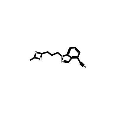 CC1OC(CCCn2ncc3c(C#N)cccc32)O1